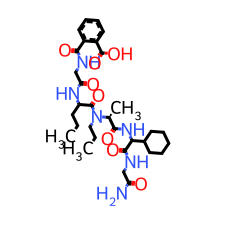 CCCC(NC(=O)CNC(=O)c1ccccc1C(=O)O)C(=O)N(CCC)[C@H](C)C(=O)NC(C(=O)NCC(N)=O)C1CCCCC1